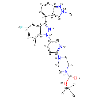 Cc1cc(F)cc2c(-c3cccc4nn(C)cc34)nn(-c3ccc(N4CCN(C(=O)OC(C)(C)C)CC4)nc3)c12